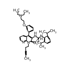 CC#CCCn1c(=O)c(NC(=O)Nc2c(C(C)C)cccc2C(C)C)c(-c2cccc(OCCN(CC)CC)c2)c2cccnc21